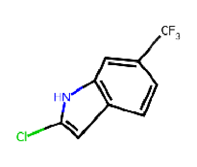 FC(F)(F)c1ccc2cc(Cl)[nH]c2c1